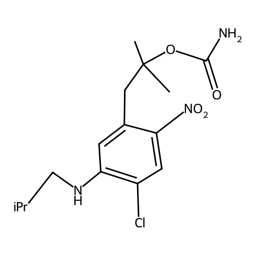 CC(C)CNc1cc(CC(C)(C)OC(N)=O)c([N+](=O)[O-])cc1Cl